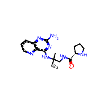 CCCCC(C)(CNC(=O)[C@@H]1CCCN1)Nc1nc(N)nc2cccnc12